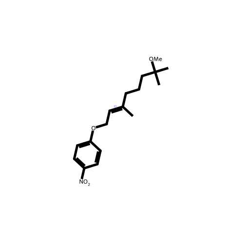 COC(C)(C)CCC/C(C)=C/COc1ccc([N+](=O)[O-])cc1